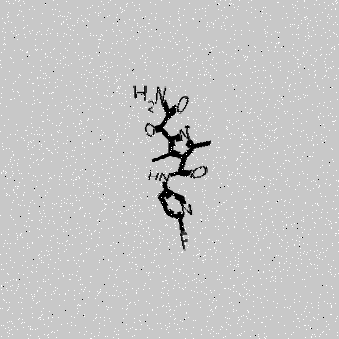 Cc1c(C(=O)Nc2ccc(F)nc2)c(C)n(C)c1C(=O)C(N)=O